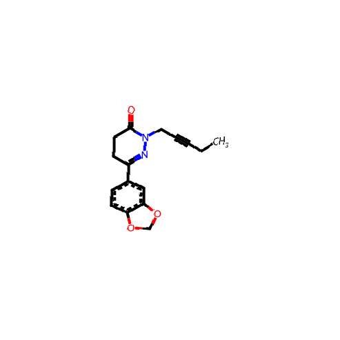 CCC#CCN1N=C(c2ccc3c(c2)OCO3)CCC1=O